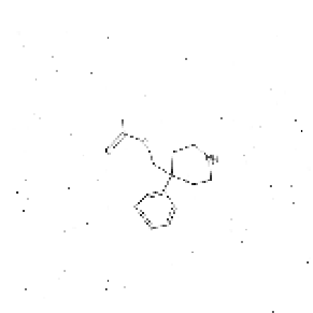 CC(=O)OCC1(c2ccccc2)CCNCC1